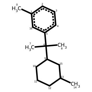 Cc1cccc(C(C)(C)C2CCCC(C)C2)c1